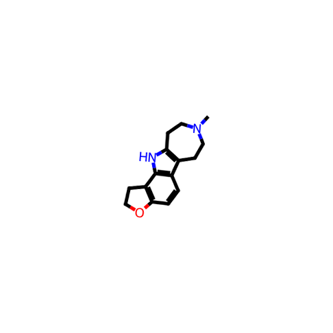 CN1CCc2[nH]c3c4c(ccc3c2CC1)OCC4